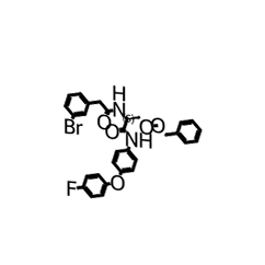 O=C(Cc1cccc(Br)c1)N[C@@H](COOCc1ccccc1)C(=O)Nc1ccc(Oc2ccc(F)cc2)cc1